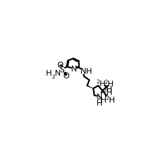 [2H]C([2H])([2H])C1(C([2H])([2H])[2H])C[C@H](CCCNc2cccc(S(N)(=O)=O)n2)CN1